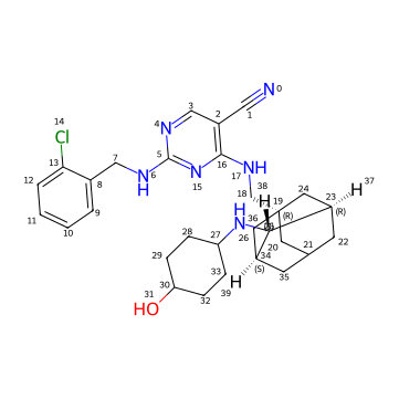 N#Cc1cnc(NCc2ccccc2Cl)nc1NC[C@@]12CC3C[C@H](C1)[C@@H](NC1CCC(O)CC1)[C@@H](C3)C2